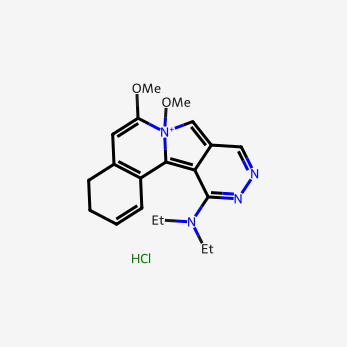 CCN(CC)c1nncc2c1=C1C3=C(C=C(OC)[N+]1(OC)C=2)CCC=C3.Cl